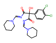 O=C(N=CN1CCCCC1)C(O)(C(=O)N=CN1CCCCC1)c1ccc(Cl)c(Cl)c1